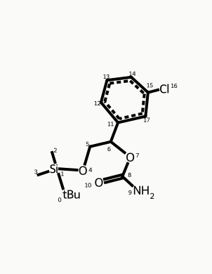 CC(C)(C)[Si](C)(C)OCC(OC(N)=O)c1cccc(Cl)c1